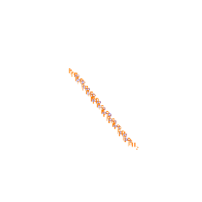 P#P=P\P=P/P=P\P=P/P=P\P=P/P=P\P=P/P=P\P=P/P=P\P=P/P=P\P=P/P=P\P=P/P=P\P=P/P=P\P=P/P=P\P=P/P